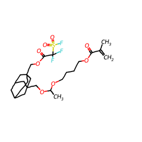 C=C(C)C(=O)OCCCCOC(C)OCC12CC3CC(CC(COC(=O)C(F)(F)S(=O)(=O)F)(C3)C1)C2